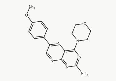 Nc1nc(N2CCOCC2)c2nc(-c3ccc(OC(F)(F)F)cc3)cnc2n1